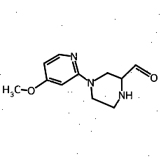 COc1ccnc(N2CCNC(C=O)C2)c1